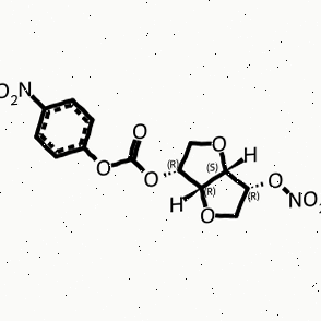 O=C(Oc1ccc([N+](=O)[O-])cc1)O[C@@H]1CO[C@H]2[C@@H]1OC[C@H]2O[N+](=O)[O-]